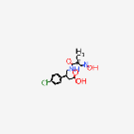 C[C@H](C=NO)C(=O)NCC(CC(=O)O)c1ccc(Cl)cc1